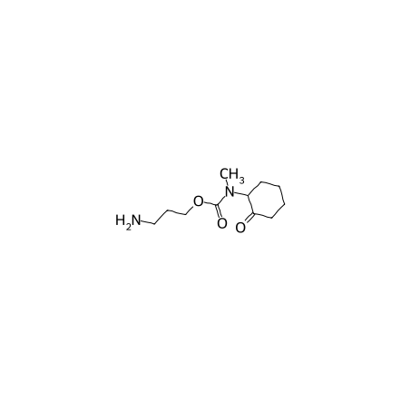 CN(C(=O)OCCCN)C1CCCCC1=O